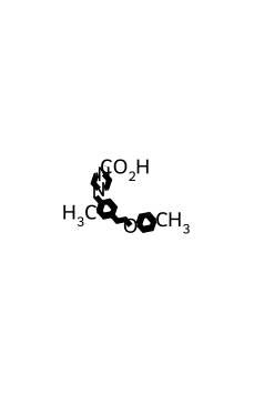 Cc1ccc(OCCc2ccc(CN3CCN(C(=O)O)CC3)c(C)c2)cc1